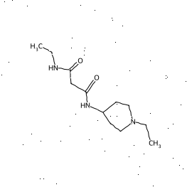 CCNC(=O)CC(=O)NC1CCN(CC)CC1